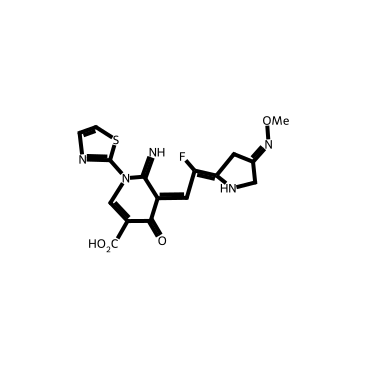 CO/N=C1/CN/C(=C(F)\C=C2/C(=N)N(c3nccs3)C=C(C(=O)O)C2=O)C1